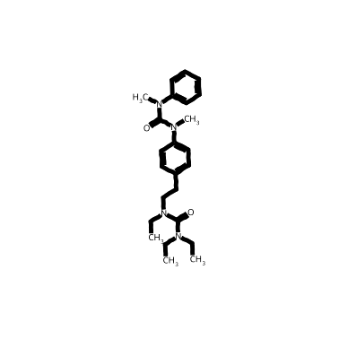 CCN(CC)C(=O)N(CC)CCc1ccc(N(C)C(=O)N(C)c2ccccc2)cc1